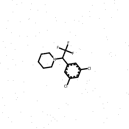 FC(F)(F)C(c1cc(Cl)cc(Cl)c1)N1CCCCC1